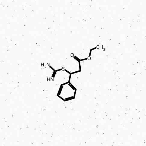 CCOC(=O)CC(SC(=N)N)c1ccccc1